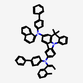 C/C=C(\c1ccccc1C)N(c1ccc(-c2ccccc2)cc1)c1ccc2c(c1)c1cc(N(c3ccc(-c4ccccc4)cc3)c3cccc4ccccc34)cc3c1n2-c1ccccc1C3(C)C